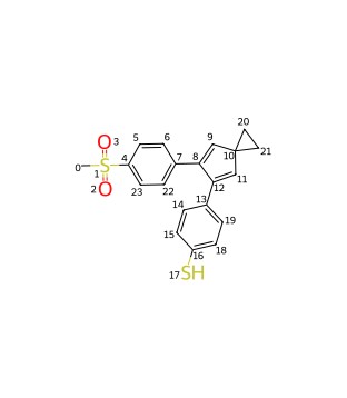 CS(=O)(=O)c1ccc(C2=CC3(C=C2c2ccc(S)cc2)CC3)cc1